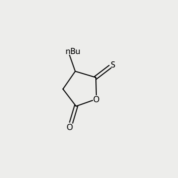 CCCCC1CC(=O)OC1=S